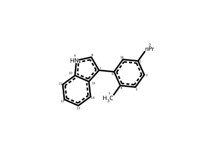 CCCc1ccc(C)c(-c2c[nH]c3ccccc23)c1